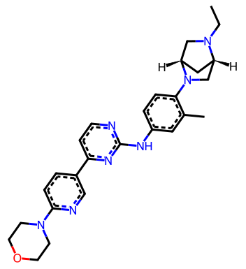 CCN1C[C@@H]2C[C@H]1CN2c1ccc(Nc2nccc(-c3ccc(N4CCOCC4)nc3)n2)cc1C